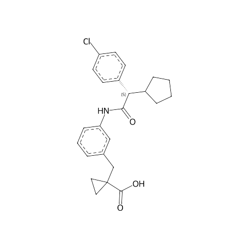 O=C(Nc1cccc(CC2(C(=O)O)CC2)c1)[C@H](c1ccc(Cl)cc1)C1CCCC1